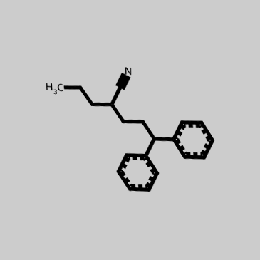 CCCC(C#N)CCC(c1ccccc1)c1ccccc1